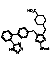 CCCCCc1nc(CC2CCC(C(=O)O)CC2)n(Cc2ccc(-c3ccccc3-c3nnn[nH]3)cc2)n1